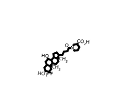 CC12CCC3C(C(O)CC4CC(O)C(F)(F)CC43C)C1CCC2CCCC(=O)N1CCCC(C(=O)O)C1